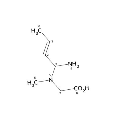 CC=CC(N)N(C)CC(=O)O